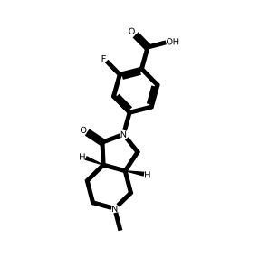 CN1CC[C@@H]2C(=O)N(c3ccc(C(=O)O)c(F)c3)C[C@@H]2C1